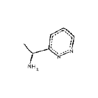 CC(N)c1cccnn1